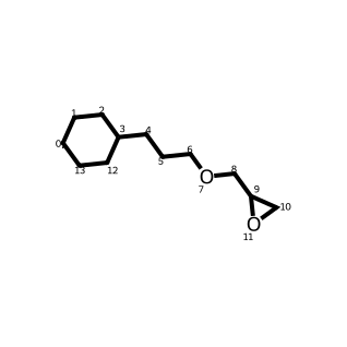 [CH]1CCC(CCCOCC2CO2)CC1